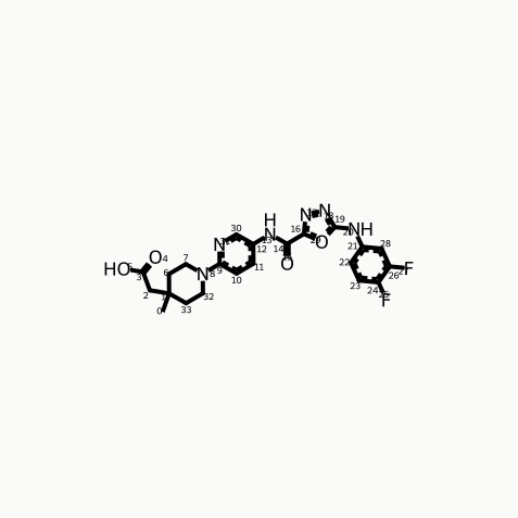 CC1(CC(=O)O)CCN(c2ccc(NC(=O)c3nnc(Nc4ccc(F)c(F)c4)o3)cn2)CC1